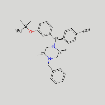 C#Cc1ccc([C@H](c2cccc(O[Si](C)(C)C(C)(C)C)c2)N2C[C@@H](C)N(Cc3ccccc3)C[C@@H]2C)cc1